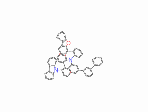 c1ccc(-c2cccc(-c3cccc(N(c4ccccc4-c4ccccc4-n4c5ccccc5c5ccccc54)c4ccccc4-c4cccc5c4oc4ccccc45)c3)c2)cc1